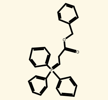 O=C(CC=P(c1ccccc1)(c1ccccc1)c1ccccc1)OCc1ccccc1